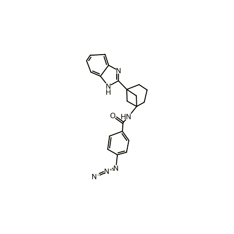 [N-]=[N+]=Nc1ccc(C(=O)NC23CCCC(c4nc5ccccc5[nH]4)(C2)C3)cc1